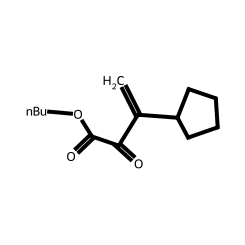 C=C(C(=O)C(=O)OCCCC)C1CCCC1